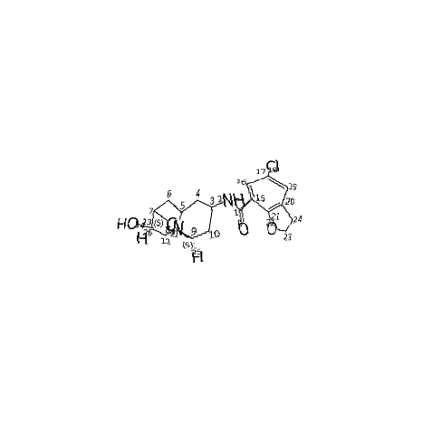 O=C(NC1CC2CC3C[C@@H](C1)N2C[C@H]3O)c1cc(Cl)cc2c1OCC2